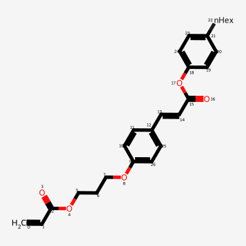 C=CC(=O)OCCCOc1ccc(C=CC(=O)Oc2ccc(CCCCCC)cc2)cc1